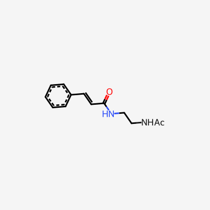 CC(=O)NCCNC(=O)/C=C/c1ccccc1